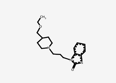 CCOCC1CCN(CCCn2c(=O)sc3ccccc32)CC1